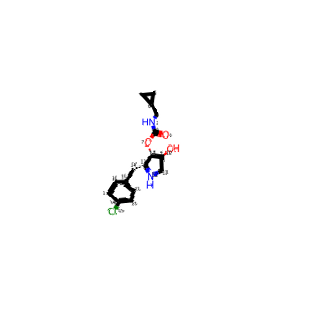 O=C(NCC1CC1)O[C@@H]1[C@@H](O)CN[C@@H]1Cc1ccc(Cl)cc1